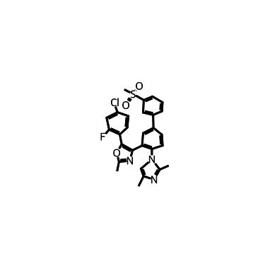 Cc1cn(-c2ccc(-c3cccc(S(C)(=O)=O)c3)cc2-c2nc(C)oc2-c2ccc(Cl)cc2F)c(C)n1